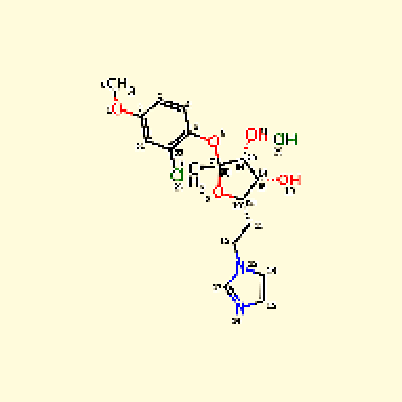 COc1ccc(O[C@@]2(C)O[C@@H](CCn3ccnc3)[C@@H](O)[C@H]2O)c(Cl)c1.Cl